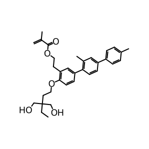 C=C(C)C(=O)OCCc1cc(-c2ccc(-c3ccc(C)cc3)cc2C)ccc1OCCC(CC)(CO)CO